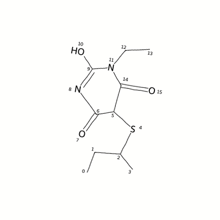 CCC(C)SC1C(=O)N=C(O)N(CC)C1=O